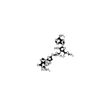 C[C@@H](OP)C1O[C@@H](n2cnc3c(N)ncnc32)[C@H](O)[C@@H]1COPOC1C[C@@H](OO)[C@H](n2cnc3c(=O)[nH]c(N)nc32)O1